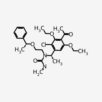 C=NC(=O)N(CCO[C@@H](C)c1ccccc1)[C@H](C)c1cc(OCC)c(C(C)=O)c(OCC)c1Cl